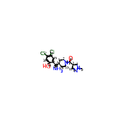 Cn1cc(C(=O)N2CCC([C@@H](N)c3cc(Cl)c(Cl)cc3O)CC2)cn1